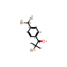 CC(C)(Br)C(=O)c1ccc(C(Br)Br)cc1